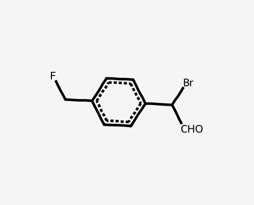 O=CC(Br)c1ccc(CF)cc1